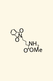 COC(=O)C(N)CCCCN1C(=O)c2ccccc2C1=O